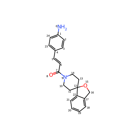 Nc1ccc(/C=C/C(=O)N2CCC3(CC2)OCc2ccccc23)cc1